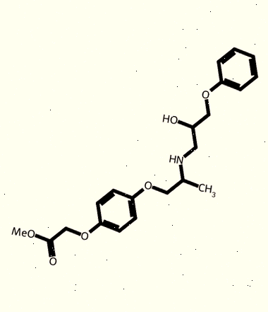 COC(=O)COc1ccc(OCC(C)NCC(O)COc2ccccc2)cc1